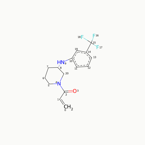 C=CC(=O)N1CCC[C@H](Nc2cccc(C(F)(F)F)c2)C1